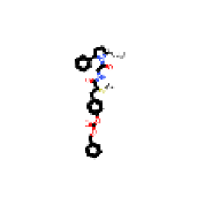 CC(=O)SC(Cc1ccc(OC(=O)OCc2ccccc2)cc1)C(=O)NCC(=O)N1C(c2ccccc2)CC[C@H]1C(=O)O